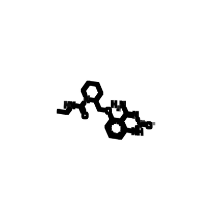 CCNC(=O)N1CCCCC1COc1cccc2c1C(N)=N[S+]([O-])N2